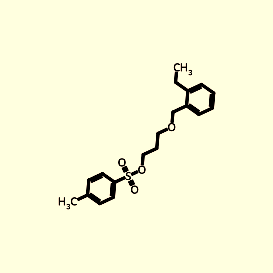 CCc1ccccc1COCCCOS(=O)(=O)c1ccc(C)cc1